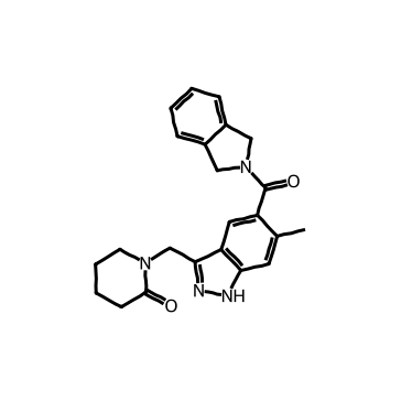 Cc1cc2[nH]nc(CN3CCCCC3=O)c2cc1C(=O)N1Cc2ccccc2C1